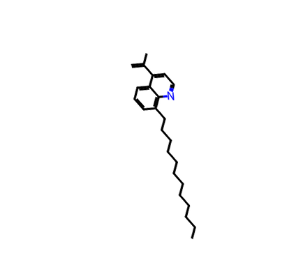 C=C(C)c1ccnc2c(CCCCCCCCCCCC)cccc12